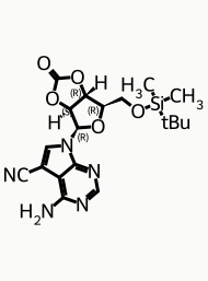 CC(C)(C)[Si](C)(C)OC[C@H]1O[C@@H](n2cc(C#N)c3c(N)ncnc32)[C@H]2OC(=O)O[C@@H]21